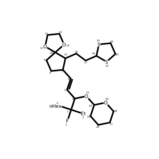 CCCCCCC(F)(CC)C(C=CC1CCC2(OCCO2)C1CCC1SCCS1)OC1CCCCO1